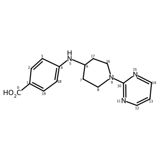 O=C(O)c1ccc(NC2CCN(c3ncccn3)CC2)cc1